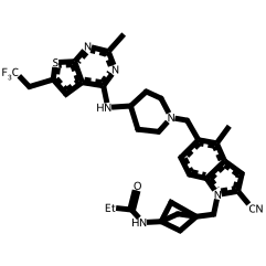 CCC(=O)NC12CC(Cn3c(C#N)cc4c(C)c(CN5CCC(Nc6nc(C)nc7sc(CC(F)(F)F)cc67)CC5)ccc43)(C1)C2